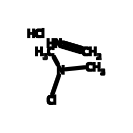 C=N.CN(C)Cl.Cl